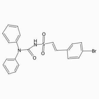 O=C(NS(=O)(=O)/C=C/c1ccc(Br)cc1)N(c1ccccc1)c1ccccc1